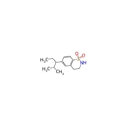 CCC(c1ccc2c(c1)CCNS2(=O)=O)C(C)C